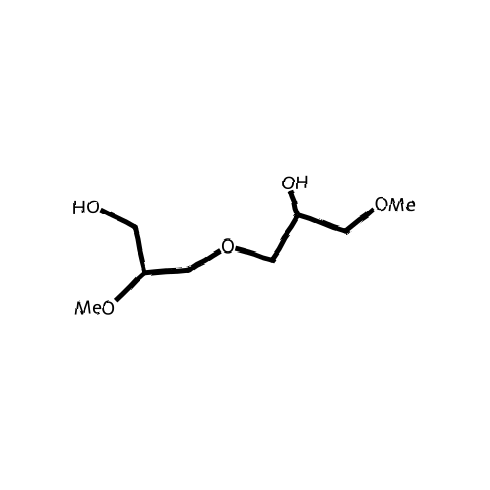 COCC(O)COCC(CO)OC